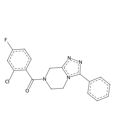 O=C(c1ccc(F)cc1Cl)N1CCn2c(nnc2-c2ccccc2)C1